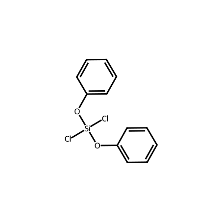 Cl[Si](Cl)(Oc1ccccc1)Oc1ccccc1